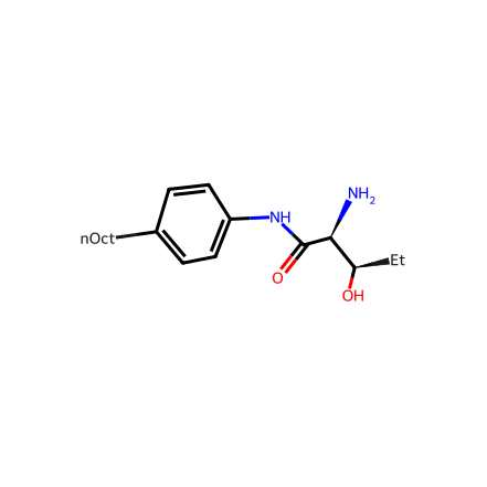 CCCCCCCCc1ccc(NC(=O)[C@@H](N)[C@H](O)CC)cc1